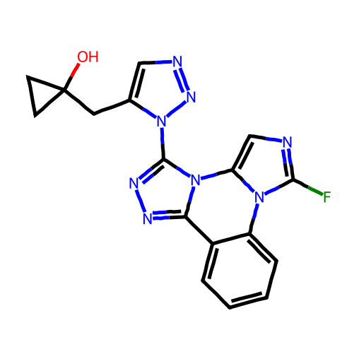 OC1(Cc2cnnn2-c2nnc3c4ccccc4n4c(F)ncc4n23)CC1